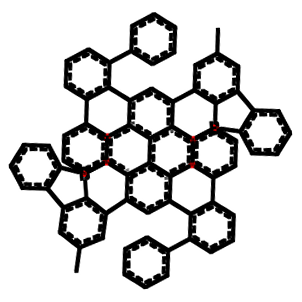 Cc1cc2c3c(c1)-c1cc(-c4c(-c5ccccc5)cccc4-c4ccccc4)c4cc5c6c(cc(-c7c(-c8ccccc8)cccc7-c7ccccc7)c7cc(c1c4c76)B3c1ccccc1-2)-c1cc(C)cc2c1B5c1ccccc1-2